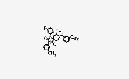 Cc1cccc(N2C(=O)N(c3cccc(F)c3)[C@@]3(CCN(Cc4cccc(OC(C)C)c4)[C@@H](C)C3)C2=O)c1